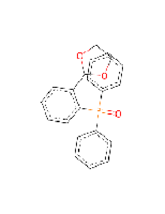 O=P(c1ccccc1)(c1ccccc1)c1ccccc1C1OCCO1